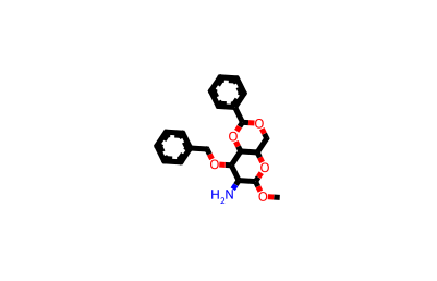 COC1OC2COC(c3ccccc3)OC2C(OCc2ccccc2)C1N